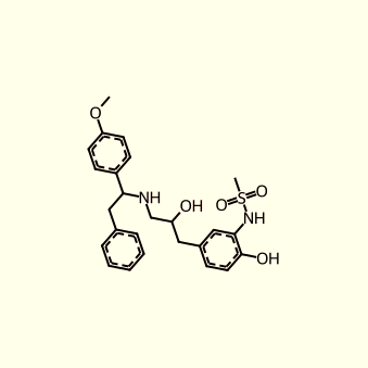 COc1ccc(C(Cc2ccccc2)NCC(O)Cc2ccc(O)c(NS(C)(=O)=O)c2)cc1